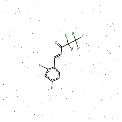 O=C(/C=C/c1ccc(F)cc1F)C(F)(F)C(F)(F)F